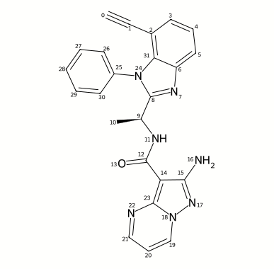 C#Cc1cccc2nc([C@H](C)NC(=O)c3c(N)nn4cccnc34)n(-c3ccccc3)c12